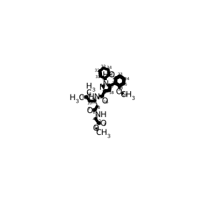 COC(=O)CNC(=O)C[C@H](CC(C)C)NC(=O)c1cc(-c2c(O)cccc2OC)n(C2C=CCCC2)n1